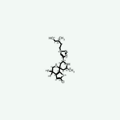 C[C@@H](CO)CCn1cc([C@@H]2CC3(C[C@H](C)N2)OCC(F)(F)c2cc(Cl)sc23)nn1